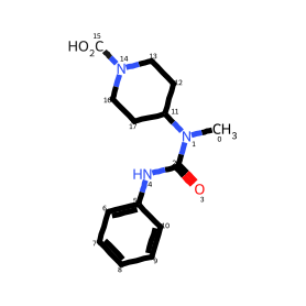 CN(C(=O)Nc1ccccc1)C1CCN(C(=O)O)CC1